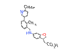 COc1ccc(-c2cccc(CNc3ccc4c(c3)OC[C@H]4CC(=O)O)c2C)cn1